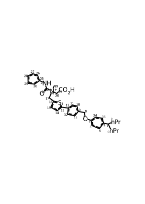 CCCC(CCC)c1ccc(OCc2ccc(-c3ccc(C[N+](C)(CC(=O)O)C(=O)Nc4ccccc4)s3)cc2)cc1